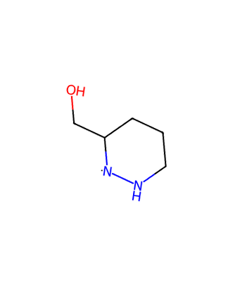 OCC1CCCN[N]1